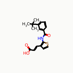 CC(C)(C)c1cccc(C(=O)Nc2sccc2C=CC(=O)O)c1